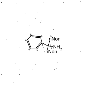 CCCCCCCCCC(N)(CCCCCCCCC)c1ccccc1